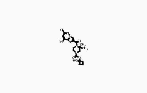 CC(C)c1cc(Cl)nn2cc(C(=O)N3CCN(C(=O)OC4(O)CCC4)CC3(C)C)nc12